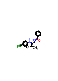 CC(C)[C@H](CNC(=O)c1ccccc1)Nc1ccc(C(F)(F)F)cc1